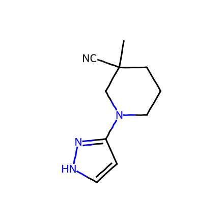 CC1(C#N)CCCN(c2cc[nH]n2)C1